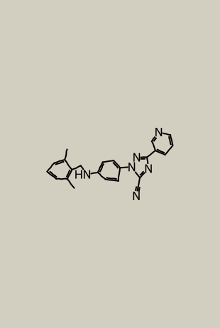 Cc1cccc(C)c1CNc1ccc(-n2nc(-c3cccnc3)nc2C#N)cc1